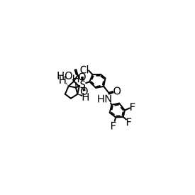 C=C[C@@]1(O)C[C@@H]2CC[C@@H]1[C@@H]2S(=O)(=O)c1cc(C(=O)Nc2cc(F)c(F)c(F)c2)ccc1Cl